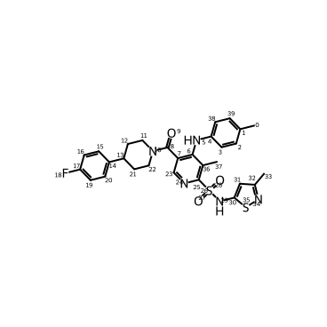 Cc1ccc(Nc2c(C(=O)N3CCC(c4ccc(F)cc4)CC3)cnc(S(=O)(=O)Nc3cc(C)ns3)c2C)cc1